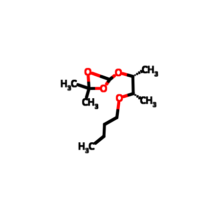 CCCCO[C@@H](C)[C@@H](C)OC1OC(C)(C)O1